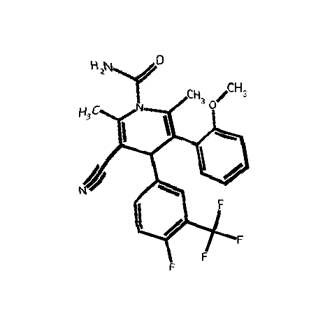 COc1ccccc1C1=C(C)N(C(N)=O)C(C)=C(C#N)C1c1ccc(F)c(C(F)(F)F)c1